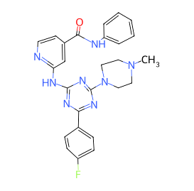 CN1CCN(c2nc(Nc3cc(C(=O)Nc4ccccc4)ccn3)nc(-c3ccc(F)cc3)n2)CC1